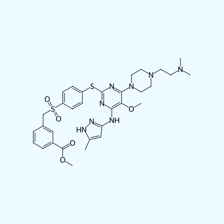 COC(=O)c1cccc(CS(=O)(=O)c2ccc(Sc3nc(Nc4cc(C)[nH]n4)c(OC)c(N4CCN(CCN(C)C)CC4)n3)cc2)c1